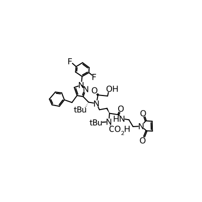 CC(C)(C)[C@H](c1nn(-c2cc(F)ccc2F)cc1Cc1ccccc1)N(CC[C@@H](C(=O)NCCN1C(=O)C=CC1=O)N(C(=O)O)C(C)(C)C)C(=O)CO